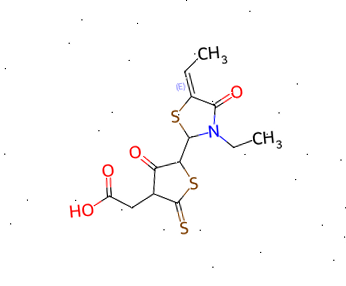 C/C=C1/SC(C2SC(=S)C(CC(=O)O)C2=O)N(CC)C1=O